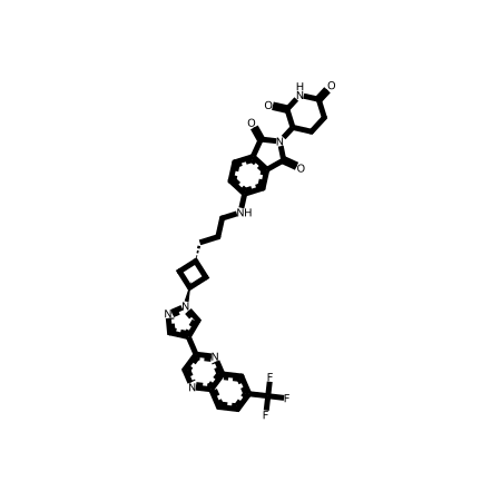 O=C1CCC(N2C(=O)c3ccc(NCCC[C@H]4C[C@H](n5cc(-c6cnc7ccc(C(F)(F)F)cc7n6)cn5)C4)cc3C2=O)C(=O)N1